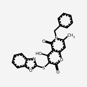 Cc1cc2oc(=O)c(Sc3nc4ccccc4o3)c(O)c2c(=O)n1Cc1ccccc1